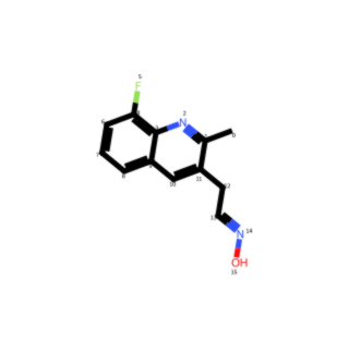 Cc1nc2c(F)cccc2cc1C/C=N/O